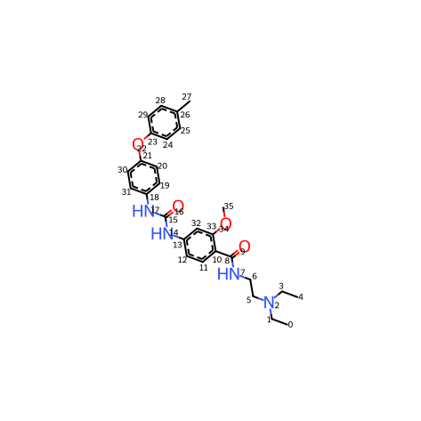 CCN(CC)CCNC(=O)c1ccc(NC(=O)Nc2ccc(Oc3ccc(C)cc3)cc2)cc1OC